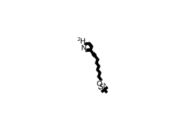 [2H]c1ccc(C#CCCCCCCCO[Si](C)(C)C(C)(C)C)cn1